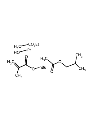 C=C(C)C(=O)OCCCC.CC(=O)OCC(C)C.CC(C)O.CCOC(C)=O